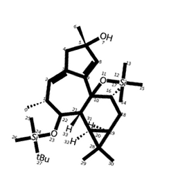 C[C@@H]1C=C2C[C@](C)(O)C=C2C2(O[Si](C)(C)C)[C@H](C)C[C@@H]3[C@H]([C@@H]2C1O[Si](C)(C)C(C)(C)C)C3(C)C